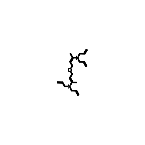 C=CCN(CC=C)C(C)=CCOCC=C(C)N(CC=C)CC=C